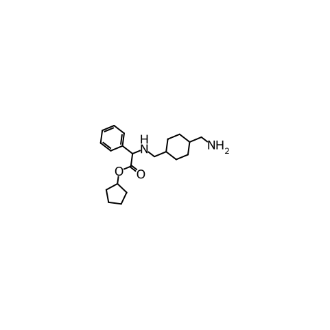 NCC1CCC(CNC(C(=O)OC2CCCC2)c2ccccc2)CC1